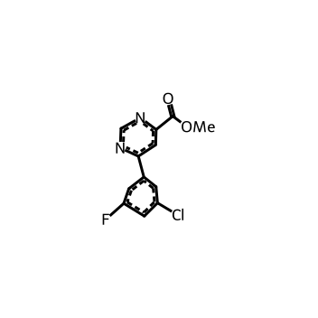 COC(=O)c1cc(-c2cc(F)cc(Cl)c2)ncn1